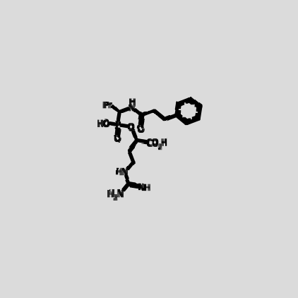 CC(C)[C@@H](NC(=O)CCc1ccccc1)P(=O)(O)OC(CCNC(=N)N)C(=O)O